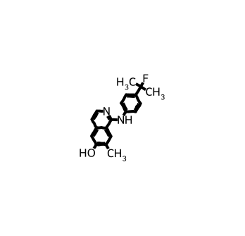 Cc1cc2c(Nc3ccc(C(C)(C)F)cc3)nccc2cc1O